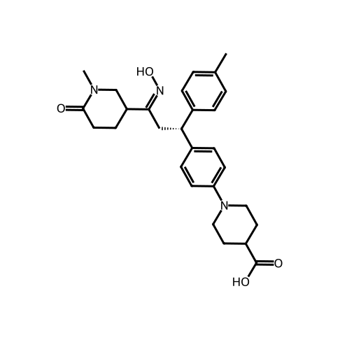 Cc1ccc([C@@H](C/C(=N/O)C2CCC(=O)N(C)C2)c2ccc(N3CCC(C(=O)O)CC3)cc2)cc1